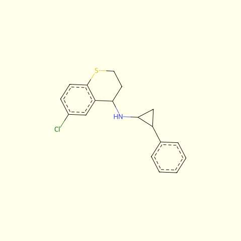 Clc1ccc2c(c1)C(NC1CC1c1ccccc1)CCS2